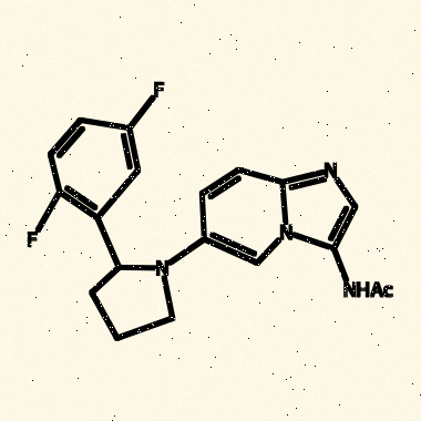 CC(=O)Nc1cnc2ccc(N3CCCC3c3cc(F)ccc3F)cn12